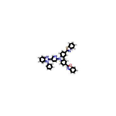 c1ccc(-n2c(-c3ccc(-n4c5ccc(-c6nc7ccccc7o6)cc5c5cc(-c6nc7ccccc7s6)ccc54)nc3)nc3ccccc32)cc1